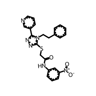 O=C(CSc1nnc(-c2cccnc2)n1CCc1ccccc1)Nc1cccc([N+](=O)[O-])c1